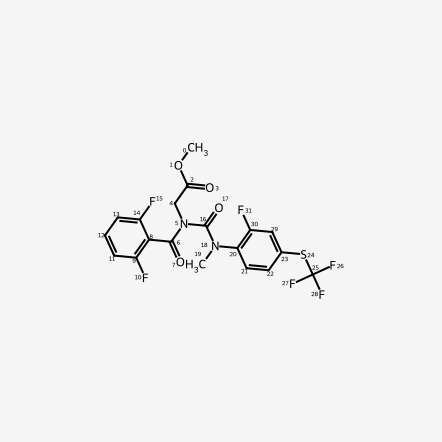 COC(=O)CN(C(=O)c1c(F)cccc1F)C(=O)N(C)c1ccc(SC(F)(F)F)cc1F